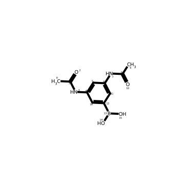 CC(=O)Nc1cc(NC(C)=O)cc(B(O)O)c1